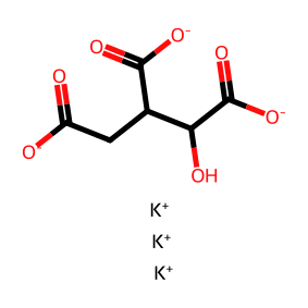 O=C([O-])CC(C(=O)[O-])C(O)C(=O)[O-].[K+].[K+].[K+]